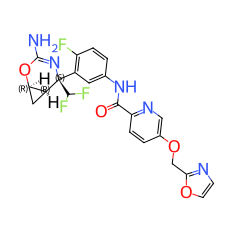 NC1=N[C@@](c2cc(NC(=O)c3ccc(OCc4ncco4)cn3)ccc2F)(C(F)F)[C@H]2C[C@H]2O1